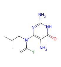 C=C(F)N(CC(C)C)c1nc(N)[nH]c(=O)c1N